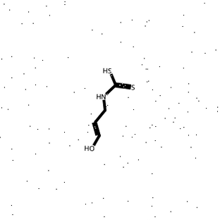 OC=CCNC(=S)S